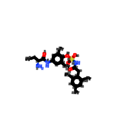 CC(C)C[C@@H](N)C(=O)Nc1cc(C(C)C)c(OS(=O)(=O)NC(=O)Cc2c(C(C)C)cc(C(C)C)cc2C(C)C)c(C(C)C)c1